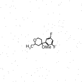 COC1(c2cc(F)cc(F)c2)CCOC(C)C1